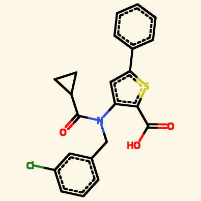 O=C(O)c1sc(-c2ccccc2)cc1N(Cc1cccc(Cl)c1)C(=O)C1CC1